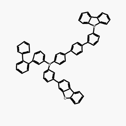 c1ccc(-c2ccccc2-c2cccc(N(c3ccc(-c4ccc(-c5cccc(-n6c7ccccc7c7ccccc76)c5)cc4)cc3)c3cccc(-c4ccc5c(c4)oc4ccccc45)c3)c2)cc1